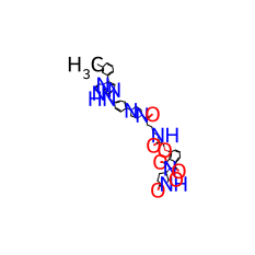 Cc1cccc(-c2cnc(Nc3ccc(N4CCN(C(=O)CCCNC(=O)COc5cccc6c5C(=O)N(C5CCC(=O)NC5=O)C6=O)CC4)cc3)c3nccn23)c1